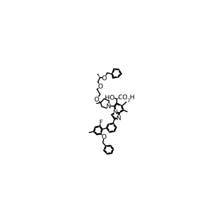 Cc1cc(F)c(-c2cccc(-c3cn4c(N5CCC(C)(OCCOC[C@@H](C)OCc6ccccc6)CC5)c([C@H](O)C(=O)O)c(C)c(C)c4n3)c2)c(OCc2ccccc2)c1